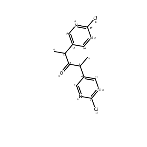 CC(C(=O)C(C)c1cnc(Cl)nc1)c1cnc(Cl)nc1